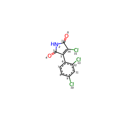 O=C1NC(=O)C(c2ccc(Cl)cc2Cl)=C1Cl